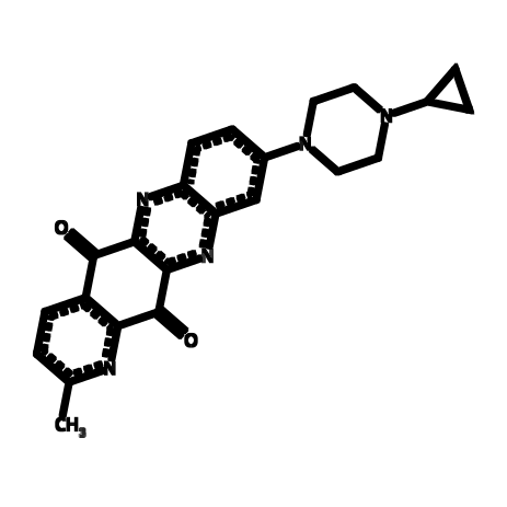 Cc1ccc2c(n1)C(=O)c1nc3cc(N4CCN(C5CC5)CC4)ccc3nc1C2=O